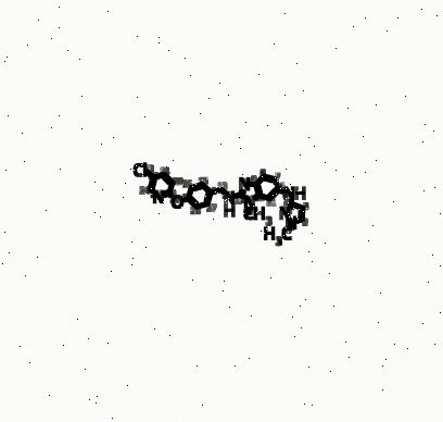 Cn1ccc(Nc2ccc3nc(NCc4ccc(Oc5ccc(Cl)cn5)cc4)n(C)c3c2)n1